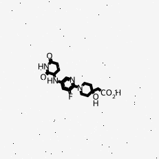 O=C(O)CC1(O)CCN(c2ncc(NC3CCC(=O)NC3=O)cc2F)CC1